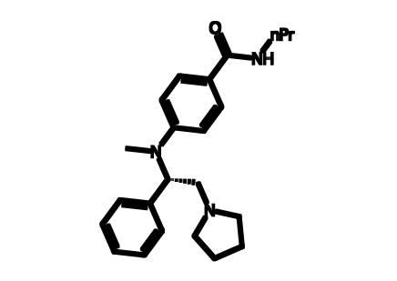 CCCNC(=O)c1ccc(N(C)[C@H](CN2CCCC2)c2ccccc2)cc1